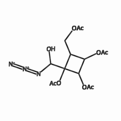 CC(=O)OCC1C(OC(C)=O)C(OC(C)=O)C1(OC(C)=O)C(O)N=[N+]=[N-]